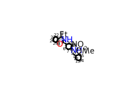 CC[C@@H](NC(=O)c1ccc(NCc2ccccc2OC)c([N+](=O)[O-])c1)c1ccccc1